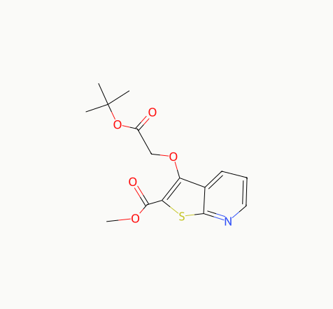 COC(=O)c1sc2ncccc2c1OCC(=O)OC(C)(C)C